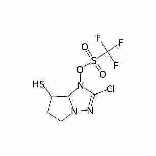 O=S(=O)(ON1C(Cl)=NN2CCC(S)C21)C(F)(F)F